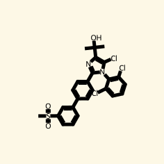 CC(C)(O)c1nc(-c2ccc(-c3cccc(S(C)(=O)=O)c3)cc2)n(-c2c(Cl)cccc2Cl)c1Cl